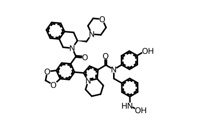 O=C(c1cc(-c2cc3c(cc2C(=O)N2Cc4ccccc4C[C@H]2CN2CCOCC2)OCO3)n2c1CCCC2)N(Cc1cccc(NO)c1)c1ccc(O)cc1